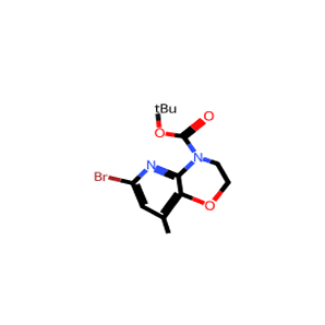 Cc1cc(Br)nc2c1OCCN2C(=O)OC(C)(C)C